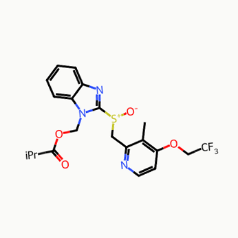 Cc1c(OCC(F)(F)F)ccnc1C[S+]([O-])c1nc2ccccc2n1COC(=O)C(C)C